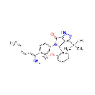 C=C/C=C\C=C(/N)c1ccc(N2C(=O)c3[nH]nc(C(C)(C)C)c3C2c2ccccc2OC)cc1